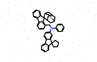 c1ccc(N(Cc2cccc3c2C2(c4ccccc4-3)C3CCC4CC(C3)CC2C4)c2ccc3c(c2)C2(CCCC2)c2ccccc2-3)cc1